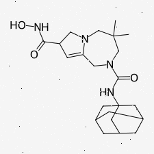 CC1(C)CN(C(=O)NC23CC4CC(CC(C4)C2)C3)CC2=CC(C(=O)NO)CN2C1